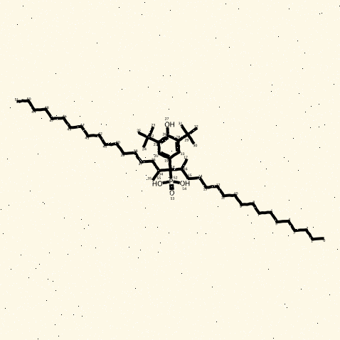 CCCCCCCCCCCCCCCCC(C)C(c1cc(C(C)(C)C)c(O)c(C(C)(C)C)c1)(C(C)CCCCCCCCCCCCCCCC)P(=O)(O)O